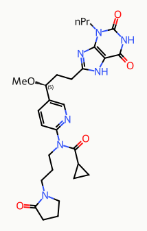 CCCn1c(=O)[nH]c(=O)c2[nH]c(CC[C@H](OC)c3ccc(N(CCCN4CCCC4=O)C(=O)C4CC4)nc3)nc21